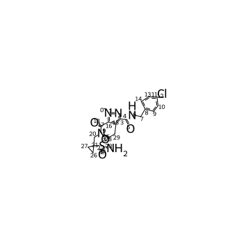 Cn1nc(C(=O)NCc2ccc(Cl)cc2)c2c1C(=O)N(CC1(S(N)(=O)=O)CC1)CC2